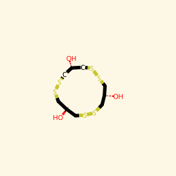 O[C@H]1CSSC[C@H](O)CSSC[C@@H](O)CSSC1